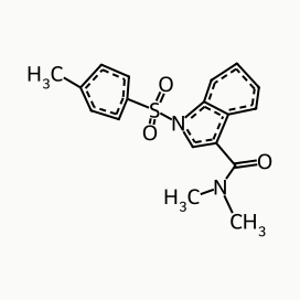 Cc1ccc(S(=O)(=O)n2cc(C(=O)N(C)C)c3ccccc32)cc1